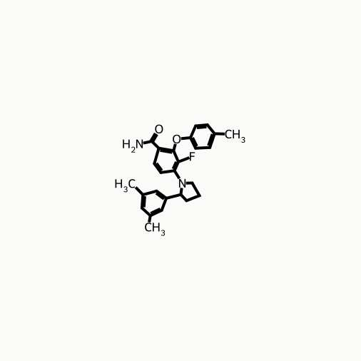 Cc1ccc(Oc2c(C(N)=O)ccc(N3CCCC3c3cc(C)cc(C)c3)c2F)cc1